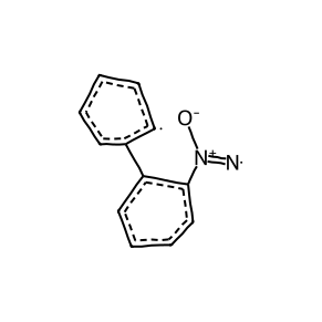 [N]=[N+]([O-])c1ccccc1-c1[c]cccc1